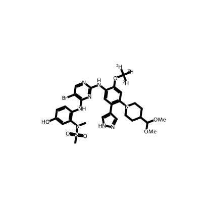 [2H]C([2H])([2H])Oc1cc(N2CCC(C(OC)OC)CC2)c(-c2cn[nH]c2)cc1Nc1ncc(Br)c(Nc2ccc(O)cc2N(C)S(C)(=O)=O)n1